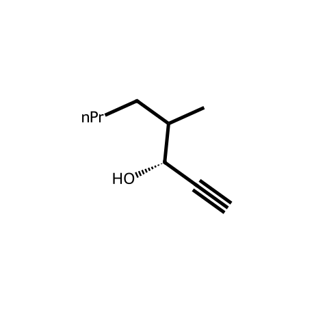 C#C[C@H](O)C(C)CCCC